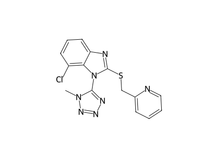 Cn1nnnc1-n1c(SCc2ccccn2)nc2cccc(Cl)c21